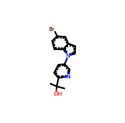 CC(C)(O)c1ccc(-n2ccc3cc(Br)ccc32)cn1